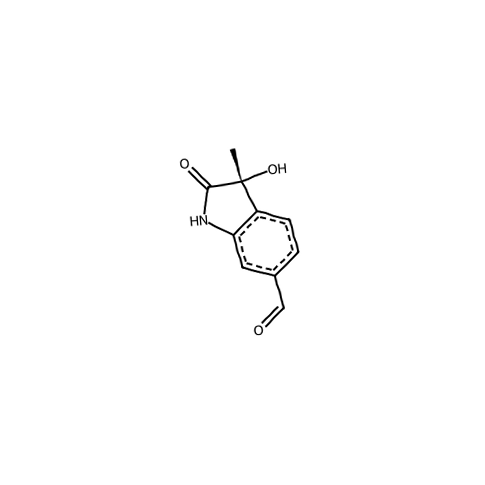 C[C@]1(O)C(=O)Nc2cc(C=O)ccc21